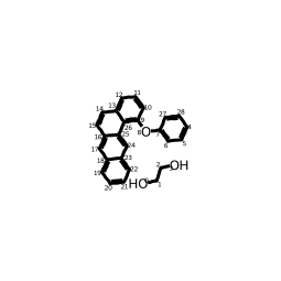 OCCO.c1ccc(Oc2cccc3ccc4cc5ccccc5cc4c23)cc1